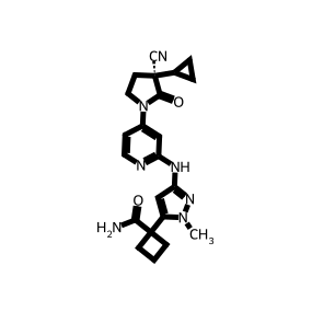 Cn1nc(Nc2cc(N3CC[C@@](C#N)(C4CC4)C3=O)ccn2)cc1C1(C(N)=O)CCC1